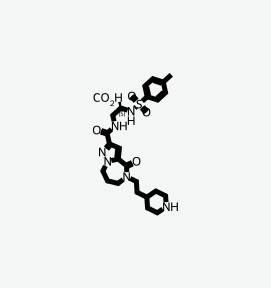 Cc1ccc(S(=O)(=O)N[C@@H](CNC(=O)c2cc3n(n2)CCCN(CCC2CCNCC2)C3=O)C(=O)O)cc1